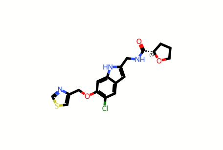 O=C(NCc1cc2cc(Cl)c(OCc3cscn3)cc2[nH]1)[C@@H]1CCCO1